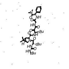 CCCCC(NC(=O)[C@@H]1C2[C@H](CN1C(=O)[C@@H](NC(=O)NC(C)(C)C)C(C)(C)C)C2(C)C)C(=O)C(=O)NCC(=O)N[C@H](C(=O)N(C)C)c1ccccc1